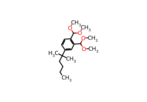 CCCCC(C)(C)c1ccc(C(OC)OC)c(C(OC)OC)c1